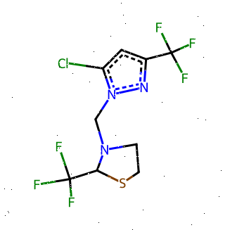 FC(F)(F)c1cc(Cl)n(CN2CCSC2C(F)(F)F)n1